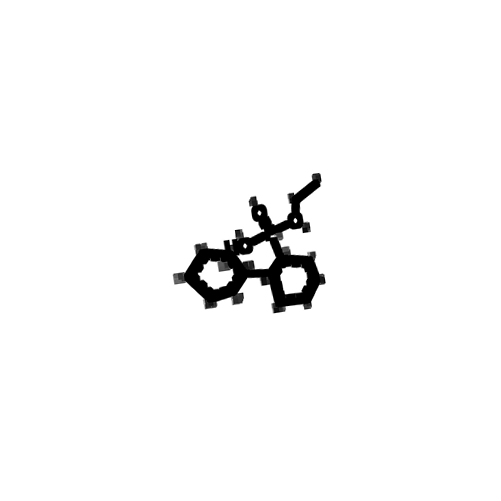 CCOP(=O)(O)c1ccccc1-c1ccccc1